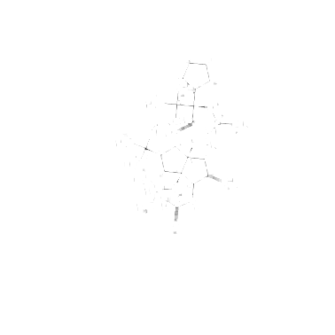 C=C1C[C@H]2[C@@H](C=C[C@@](O[SiH](C)C)(C3CCCC3)C(C)(C)C)[C@H](C(C)(C)C)C[C@@]2(O[SiH](C)C)C1OC(C)=O